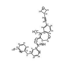 CN1C(=O)[C@@H](NC(=O)c2cc(Cc3cccc(F)n3)ccn2)COc2ccc(C#CC3COC3)cc21